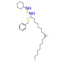 CCCCCCCC/C=C\CCCCCCC(NSNC1CCCCC1)SCc1ccccc1